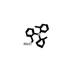 COCc1cccc[c]1[Bi]([c]1ccccc1C)[c]1ccccc1C